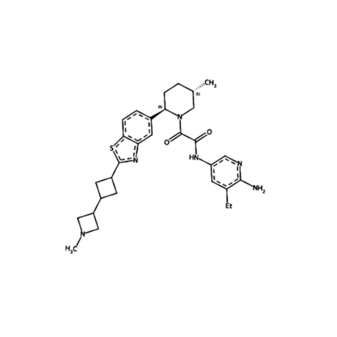 CCc1cc(NC(=O)C(=O)N2C[C@@H](C)CC[C@@H]2c2ccc3sc(C4CC(C5CN(C)C5)C4)nc3c2)cnc1N